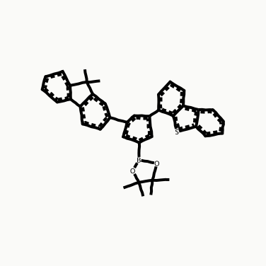 CC1(C)c2ccccc2-c2ccc(-c3cc(B4OC(C)(C)C(C)(C)O4)cc(-c4cccc5c4sc4ccccc45)c3)cc21